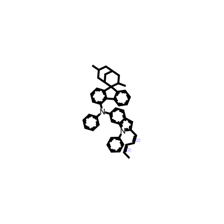 C/C=C\C=C/c1cc2ccc(N(c3ccccc3)c3cccc4c3-c3ccccc3C43C(C)CC4CC(C)CC3C4)cc2n1-c1ccccc1